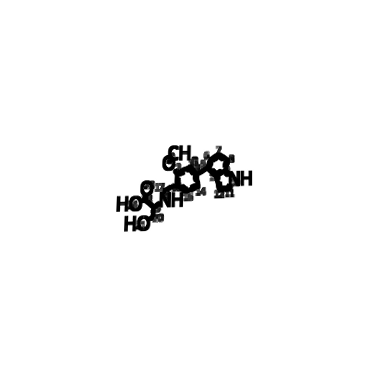 COc1cc(-c2cccc3[nH]ccc23)ccc1CNC(CO)C(=O)O